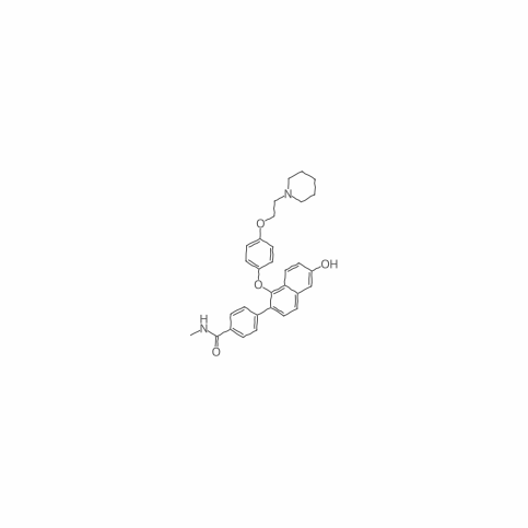 CNC(=O)c1ccc(-c2ccc3cc(O)ccc3c2Oc2ccc(OCCN3CCCCC3)cc2)cc1